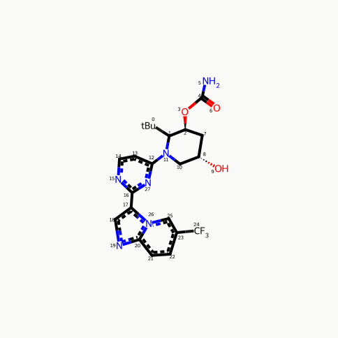 CC(C)(C)C1[C@@H](OC(N)=O)C[C@H](O)CN1c1ccnc(-c2cnc3ccc(C(F)(F)F)cn23)n1